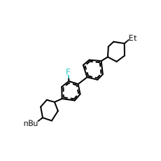 CCCCC1CCC(c2ccc(-c3ccc(C4CCC(CC)CC4)cc3)c(F)c2)CC1